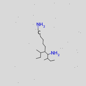 CCC(C)C(N)C(CCCCCCN)C(C)CC